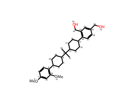 COc1ccc(C2CCC(C(C)(C)C3CCC(c4ccc(CO)cc4CO)CC3)CC2)c(OC)c1